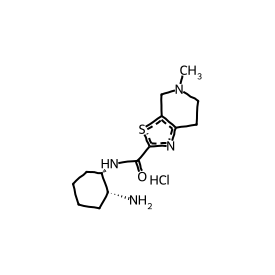 CN1CCc2nc(C(=O)N[C@H]3CCCC[C@H]3N)sc2C1.Cl